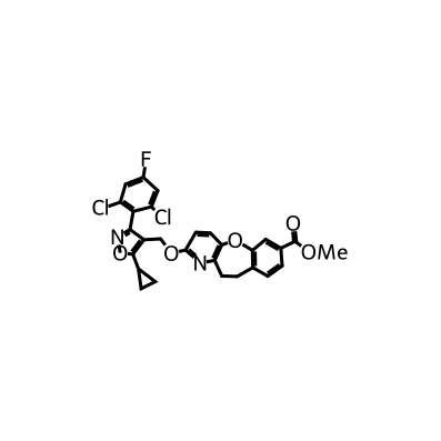 COC(=O)c1ccc2c(c1)Oc1ccc(OCc3c(-c4c(Cl)cc(F)cc4Cl)noc3C3CC3)nc1CC2